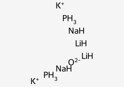 P.P.[K+].[K+].[LiH].[LiH].[NaH].[NaH].[O-2]